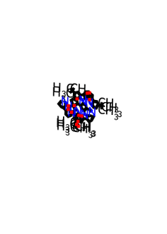 CC(C)(C)c1ccc2c(c1)c1ccccc1n2-c1c(C#N)c(-n2c3ccccc3c3cc(C(C)(C)C)ccc32)c(-n2c3ccccc3c3cc(C(C)(C)C)ccc32)c(-c2cccc(-n3c4ncccc4c4cccnc43)c2)c1-n1c2ccccc2c2cc(C(C)(C)C)ccc21